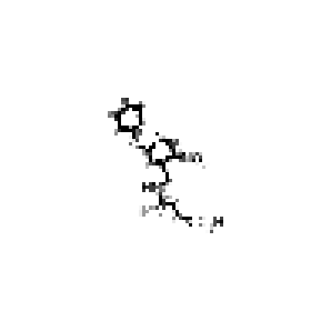 CC(C)[C@H](CCC(=O)O)NCc1cc(Oc2ccccc2)ncc1[N+](=O)[O-]